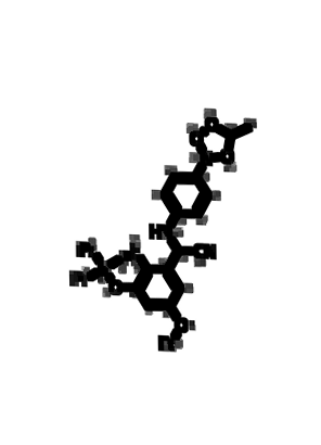 CCOc1cc(O[Si](C(C)C)(C(C)C)C(C)C)c(F)c(C(C#N)Nc2ccc(N3OOC(C)O3)cc2)c1